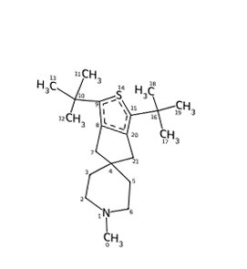 CN1CCC2(CC1)Cc1c(C(C)(C)C)sc(C(C)(C)C)c1C2